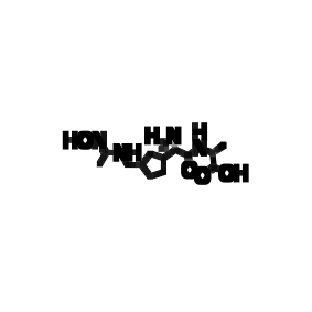 C/C(=N\O)NCC1CCC([C@H](N)C(=O)N[C@@H](C)C(=O)O)C1